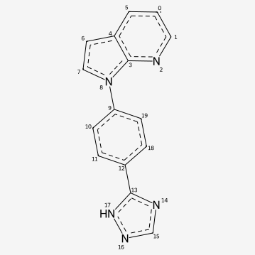 [c]1cnc2c(c1)ccn2-c1ccc(-c2ncn[nH]2)cc1